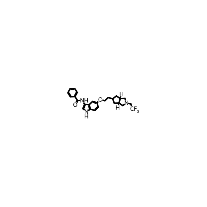 O=C(Nc1c[nH]c2ccc(OCCC3C[C@@H]4CN(CC(F)(F)F)C[C@@H]4C3)cc12)c1ccccc1